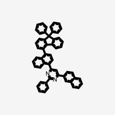 c1ccc(-c2nc(-c3ccc4ccccc4c3)cc(-c3ccc(-c4cccc5c4-c4ccccc4C5(c4ccccc4)c4ccccc4)c4ccccc34)n2)cc1